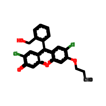 O=CCCOc1cc2oc3cc(=O)c(Cl)cc-3c(-c3ccccc3CO)c2cc1Cl